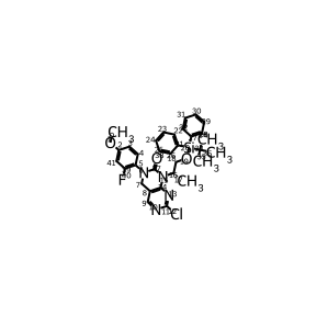 COc1ccc(N2Cc3cnc(Cl)nc3N([C@@H](C)CO[Si](c3ccccc3)(c3ccccc3)C(C)(C)C)C2=O)c(F)c1